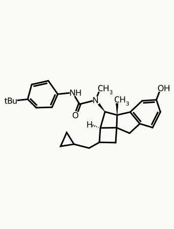 CN(C(=O)Nc1ccc(C(C)(C)C)cc1)[C@@H]1[C@@H]2C(CC3CC3)CC23Cc2ccc(O)cc2[C@@]13C